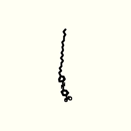 CCCCCCCCCCCCCCCCCCc1ccc(N=Nc2ccc([N+](=O)[O-])cc2)cc1